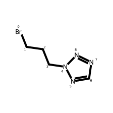 BrCCCn1ncnn1